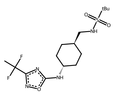 CC(F)(F)c1noc(N[C@H]2CC[C@H](CNS(=O)(=O)C(C)(C)C)CC2)n1